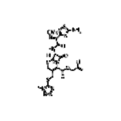 C=C(Cl)COC(=O)C1=C(CSc2nnnn2C)CS[C@H]2C(NC(=O)C(=NOC)c3csc(N)n3)C(=O)N12